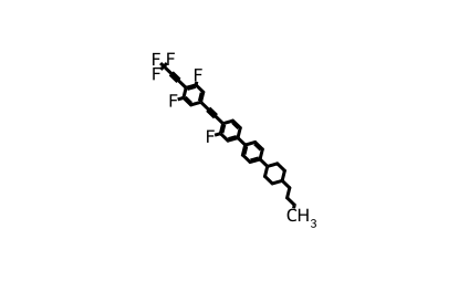 CCCCC1CCC(c2ccc(-c3ccc(C#Cc4cc(F)c(C#CC(F)(F)F)c(F)c4)c(F)c3)cc2)CC1